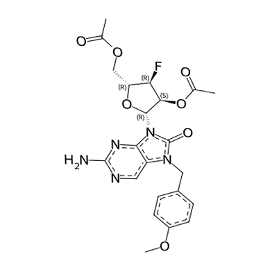 COc1ccc(Cn2c(=O)n([C@@H]3O[C@H](COC(C)=O)[C@@H](F)[C@H]3OC(C)=O)c3nc(N)ncc32)cc1